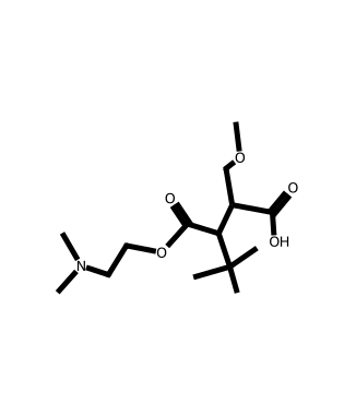 COCC(C(=O)O)C(C(=O)OCCN(C)C)C(C)(C)C